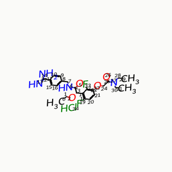 CCOC(C(=O)NCc1ccc(C(=N)N)cc1)c1c(F)ccc(OCC(=O)N(CC)CC)c1F.Cl